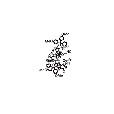 [C-]#[N+]CCOP(=O)(OC[C@H]1O[C@@H](n2cnc3c(=O)[nH]c(NC(=O)C(C)C)nc32)[C@H](OC(c2ccccc2)(c2ccc(OC)cc2)c2ccc(OC)cc2)[C@@H]1OC)O[C@H]1[C@H](n2cnc3c(NC(=O)c4ccccc4)ncnc32)[C@H]2C[C@]2(COC(c2ccccc2)(c2ccc(OC)cc2)c2ccc(OC)cc2)[C@H]1O[Si](C)(C)C(C)(C)C